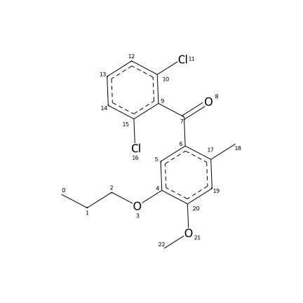 CCCOc1cc(C(=O)c2c(Cl)cccc2Cl)c(C)cc1OC